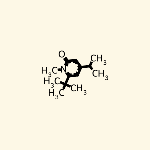 CC(C)c1cc(C(C)(C)C)n(C)c(=O)c1